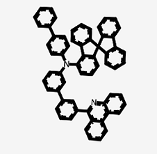 c1ccc(-c2ccc(N(c3cccc(-c4cccc(-c5nc6ccccc6c6ccccc56)c4)c3)c3cccc4c3-c3ccccc3C43c4ccccc4-c4ccccc43)cc2)cc1